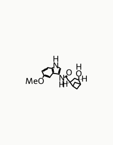 COc1ccc2[nH]cc(NC(=O)[C@H]3C[C@@H](O)C4CC3C4)c2c1